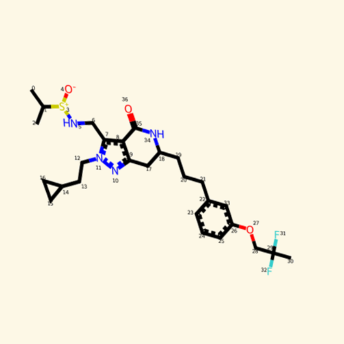 CC(C)[S+]([O-])NCc1c2c(nn1CCC1CC1)CC(CCCc1cccc(OCC(C)(F)F)c1)NC2=O